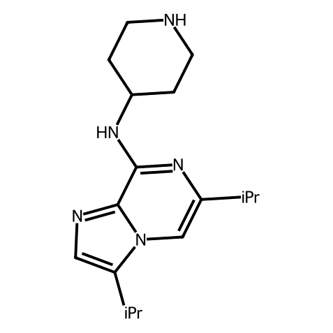 CC(C)c1cn2c(C(C)C)cnc2c(NC2CCNCC2)n1